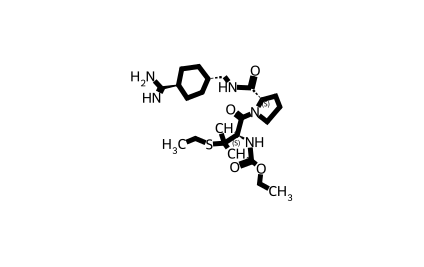 CCOC(=O)N[C@@H](C(=O)N1CCC[C@H]1C(=O)NC[C@H]1CC[C@H](C(=N)N)CC1)C(C)(C)SCC